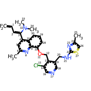 C=C/C=C(/c1cc(C)nc2c(OCc3c(Cl)cncc3CNc3nc(C)cs3)cccc12)N(C)C